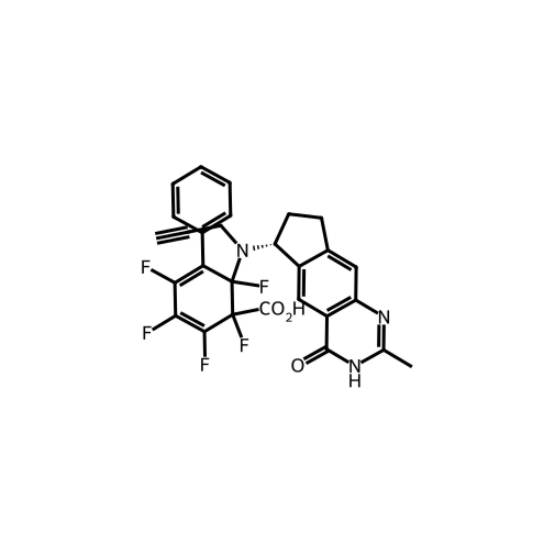 C#CCN([C@@H]1CCc2cc3nc(C)[nH]c(=O)c3cc21)C1(F)C(c2ccccc2)=C(F)C(F)=C(F)C1(F)C(=O)O